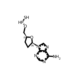 Nc1ncnc2c1ncn2[C@H]1CC[C@@H](COPS)O1